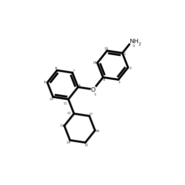 Nc1ccc(Oc2ccccc2C2CCCCC2)cc1